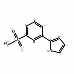 NS(=O)(=O)c1cccc(C2=CC=C[N]2)c1